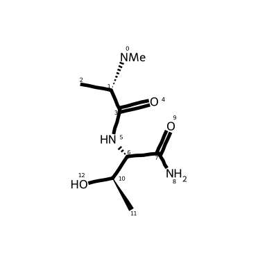 CN[C@@H](C)C(=O)N[C@H](C(N)=O)[C@@H](C)O